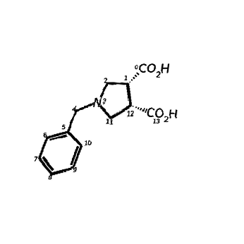 O=C(O)[C@H]1CN(Cc2ccccc2)C[C@H]1C(=O)O